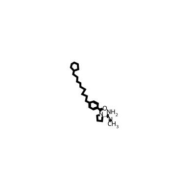 C/N=C(/N)[C@@H]1CCCN1C(=O)c1ccc(CCCCCCCCCC2CCCCC2)cc1